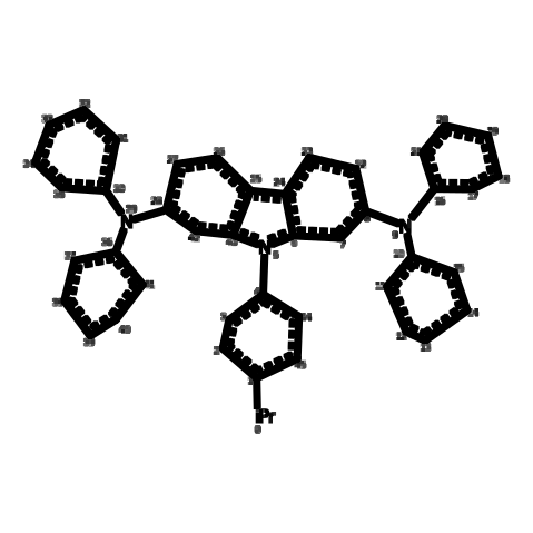 CC(C)c1ccc(-n2c3cc(N(c4ccccc4)c4ccccc4)ccc3c3ccc(N(c4ccccc4)c4ccccc4)cc32)cc1